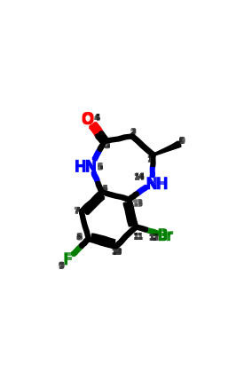 C[C@@H]1CC(=O)Nc2cc(F)cc(Br)c2N1